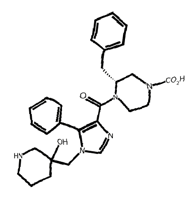 O=C(O)N1CCN(C(=O)c2ncn(CC3(O)CCCNC3)c2-c2ccccc2)[C@H](Cc2ccccc2)C1